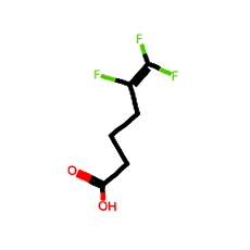 O=C(O)CCCC(F)=C(F)F